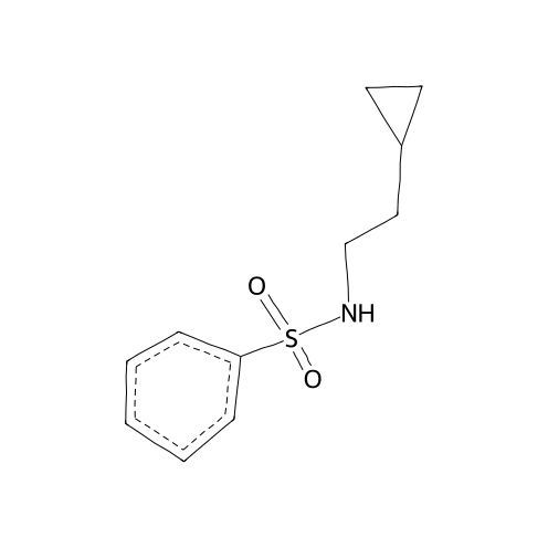 O=S(=O)(NCCC1CC1)c1ccccc1